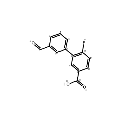 O=Cc1cccc(-c2cc(C(=O)O)ccc2F)c1